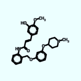 COc1ccc(/C=C/C(=O)Nc2ccccc2COc2cccc(OC3CCN(C)CC3)c2)cc1O